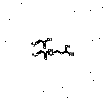 C=CC(=O)O.C=CC(=O)O.CCCC(O)O